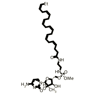 CC/C=C\C/C=C\C/C=C\C/C=C\C/C=C\C/C=C\CCC(=O)NCCNP(=O)(OC)OC[C@H]1O[C@@H](n2ccc(N)nc2=O)[C@](C)(O)[C@@H]1O